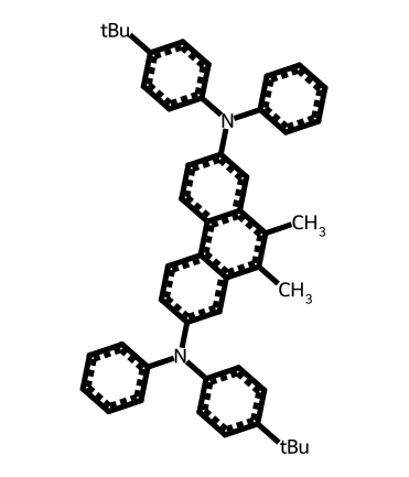 Cc1c(C)c2cc(N(c3ccccc3)c3ccc(C(C)(C)C)cc3)ccc2c2ccc(N(c3ccccc3)c3ccc(C(C)(C)C)cc3)cc12